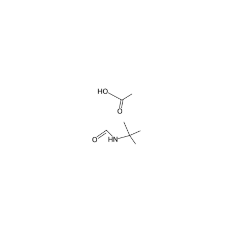 CC(=O)O.CC(C)(C)NC=O